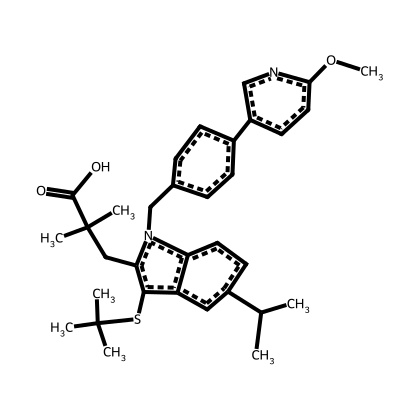 COc1ccc(-c2ccc(Cn3c(CC(C)(C)C(=O)O)c(SC(C)(C)C)c4cc(C(C)C)ccc43)cc2)cn1